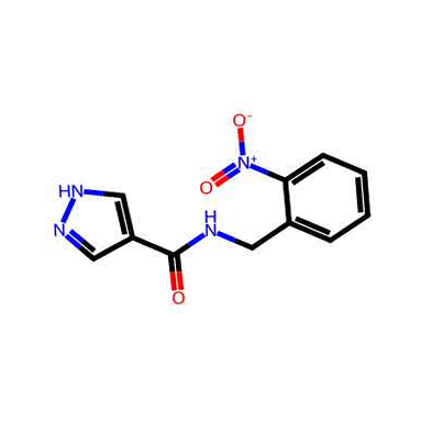 O=C(NCc1ccccc1[N+](=O)[O-])c1cn[nH]c1